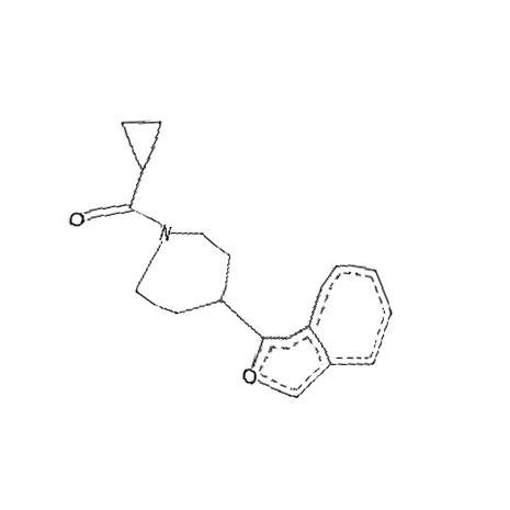 O=C(C1CC1)N1CCC(c2occ3ccccc23)CC1